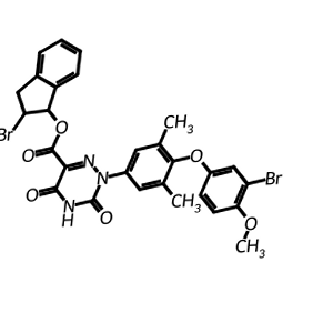 COc1ccc(Oc2c(C)cc(-n3nc(C(=O)OC4c5ccccc5CC4Br)c(=O)[nH]c3=O)cc2C)cc1Br